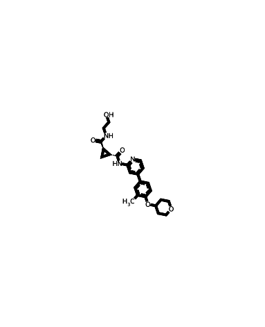 Cc1cc(-c2ccnc(NC(=O)[C@@H]3C[C@H]3C(=O)NCCO)c2)ccc1OC1CCOCC1